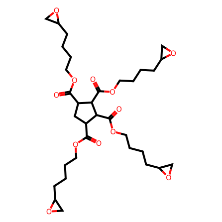 O=C(OCCCCC1CO1)C1CC(C(=O)OCCCCC2CO2)C(C(=O)OCCCCC2CO2)C1C(=O)OCCCCC1CO1